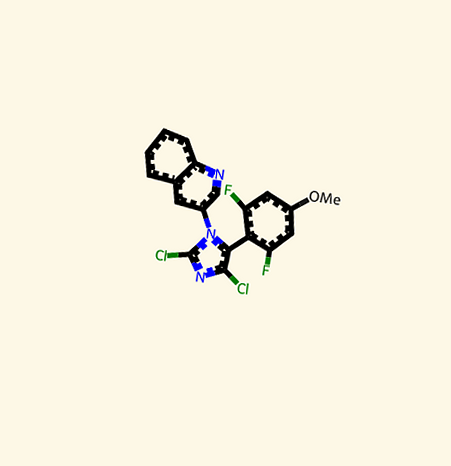 COc1cc(F)c(-c2c(Cl)nc(Cl)n2-c2cnc3ccccc3c2)c(F)c1